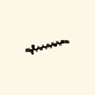 CC[C@@H](C)N(C)C(=O)CCOCCOCCOCCNC(C)=O